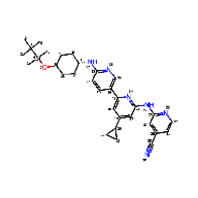 CC(C)(C)[Si](C)(C)O[C@H]1CC[C@H](Nc2ccc(-c3cc(C4CC4)cc(Nc4cc(C#N)ccn4)n3)cn2)CC1